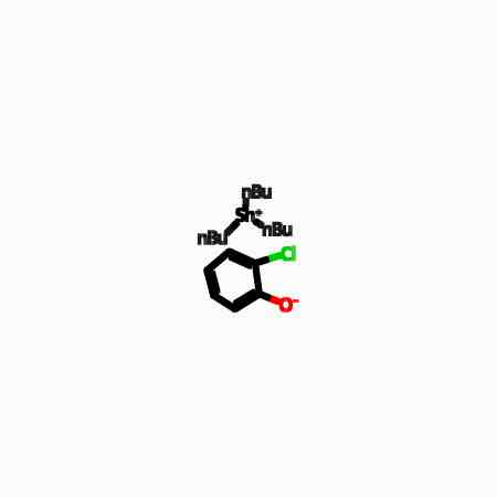 CCC[CH2][Sn+]([CH2]CCC)[CH2]CCC.[O-]c1ccccc1Cl